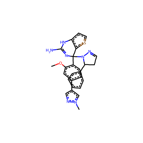 COc1cc(-c2cnn(C)c2)ccc1C1(N2N=CCC2c2ccccc2)N=C(N)Nc2ccsc21